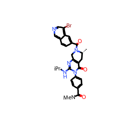 CNC(=O)c1ccc(-n2c(NC(C)C)nc3c(c2=O)C[C@@H](C)N(C(=O)c2ccc4cncc(Br)c4c2)C3)cc1